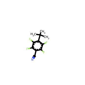 CC(C)(C)c1c(F)c(F)c(C#N)c(F)c1F